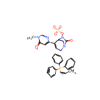 C/C=C\[P+](c1ccccc1)(c1ccccc1)c1ccccc1.Cn1cnc(C2=CCN3CC2N(OS(=O)(=O)[O-])C3=O)cc1=O